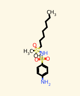 CCCCCCCCS(C)(C)(=O)NS(=O)(=O)c1ccc(N)cc1